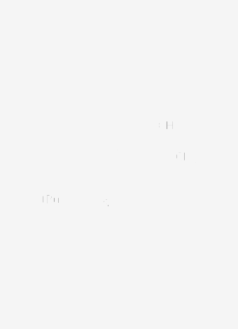 C/C=c1/cc(C(C)(C)C)s/c1=C/C